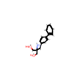 NC(CO)(CO)Cc1ccc(-c2ccccc2)cc1